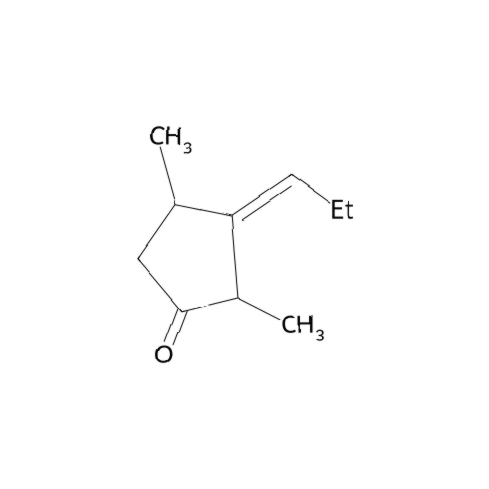 CCC=C1C(C)CC(=O)C1C